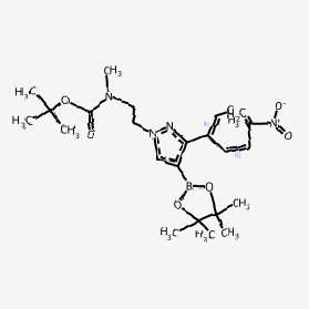 C=C(/C=C\C(=C/C)c1nn(CCN(C)C(=O)OC(C)(C)C)cc1B1OC(C)(C)C(C)(C)O1)[N+](=O)[O-]